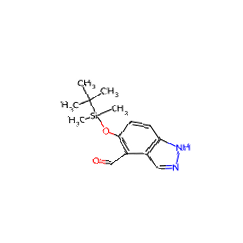 CC(C)(C)[Si](C)(C)Oc1ccc2[nH]ncc2c1C=O